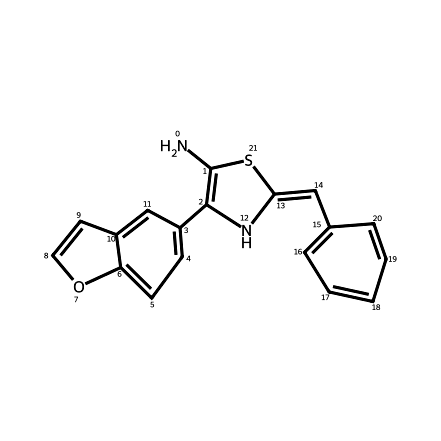 NC1=C(c2ccc3occc3c2)NC(=Cc2ccccc2)S1